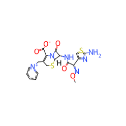 CO/N=C(\C(=O)N[C@@H]1C(=O)N2C(C(=O)[O-])=C(C[n+]3ccccc3)CS[C@H]12)c1csc(N)n1